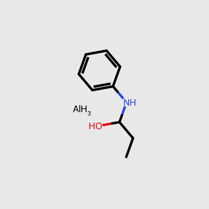 CCC(O)Nc1ccccc1.[AlH3]